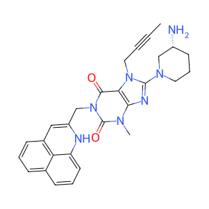 CC#CCn1c(N2CCC[C@@H](N)C2)nc2c1c(=O)n(CC1=Cc3cccc4cccc(c34)N1)c(=O)n2C